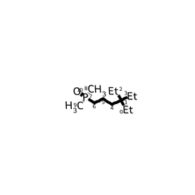 CCC(CC)(CC)CCCP(C)(C)=O